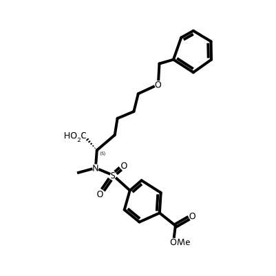 COC(=O)c1ccc(S(=O)(=O)N(C)[C@@H](CCCCOCc2ccccc2)C(=O)O)cc1